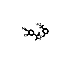 Cc1nn(Cc2cccc(C(C)(C)O)c2)c(C)c1-c1ccc(C#N)c(Cl)c1